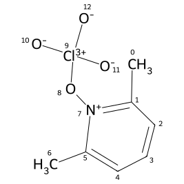 Cc1cccc(C)[n+]1O[Cl+3]([O-])([O-])[O-]